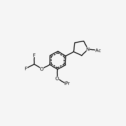 CC(=O)N1CCC(c2ccc(OC(F)F)c(OC(C)C)c2)C1